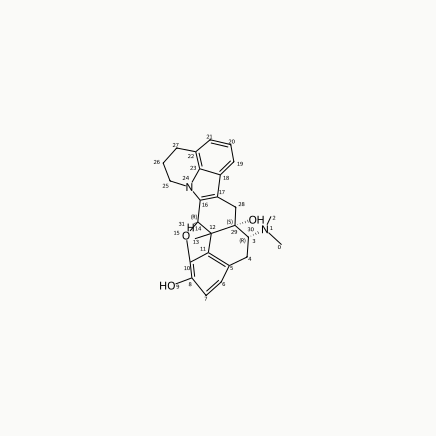 CN(C)[C@@H]1Cc2ccc(O)c3c2C2(C)[C@@H](O3)c3c(c4cccc5c4n3CCC5)C[C@@]12O